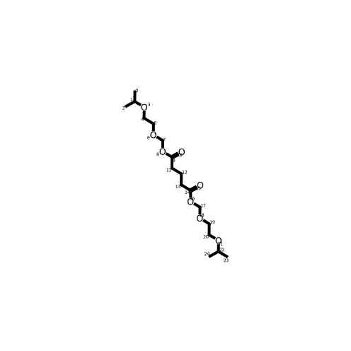 CC(C)OCCOCOC(=O)CCCC(=O)OCOCCOC(C)C